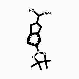 COC(O)C1Cc2ccc(B3OC(C)(C)C(C)(C)O3)cc2C1